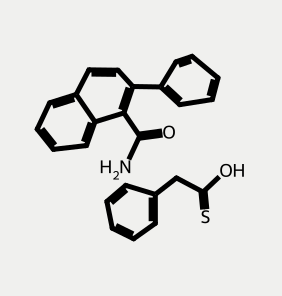 NC(=O)c1c(-c2ccccc2)ccc2ccccc12.OC(=S)Cc1ccccc1